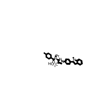 CC1CCC(C(=O)N(c2nn(-c3ccc(-c4cc5ccccc5n4C)cc3)cc2C(=O)O)C(C)C)CC1